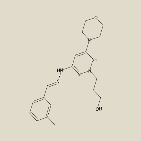 Cc1cccc(C=NNC2=NN(CCCO)NC(N3CCOCC3)=C2)c1